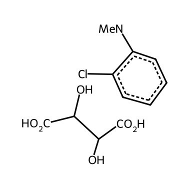 CNc1ccccc1Cl.O=C(O)C(O)C(O)C(=O)O